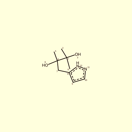 CC(C)(O)C(C)(O)Cc1ccn[nH]1